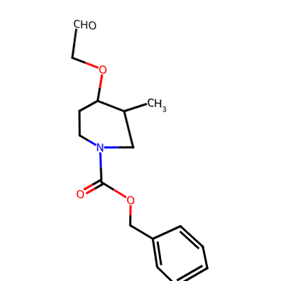 CC1CN(C(=O)OCc2ccccc2)CCC1OCC=O